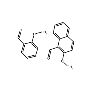 COc1ccc2ccccc2c1C=O.COc1ccccc1C=O